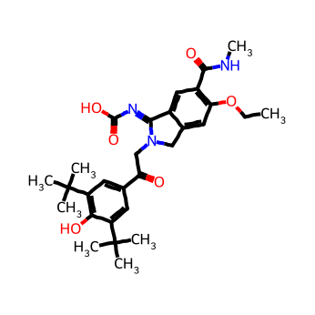 CCOc1cc2c(cc1C(=O)NC)C(=NC(=O)O)N(CC(=O)c1cc(C(C)(C)C)c(O)c(C(C)(C)C)c1)C2